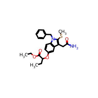 CCOC(=O)C(CC)Oc1ccc2c(c1)c(CC(N)=O)c(SC)n2Cc1ccccc1